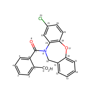 O=C(O)c1ccccc1C(=O)N1Cc2ccccc2Oc2ccc(Cl)cc21